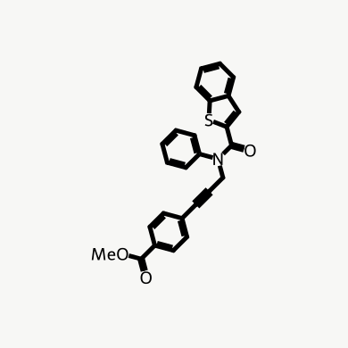 COC(=O)c1ccc(C#CCN(C(=O)c2cc3ccccc3s2)c2ccccc2)cc1